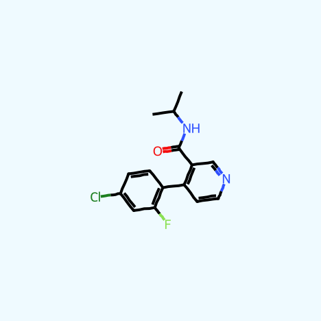 CC(C)NC(=O)c1cnccc1-c1ccc(Cl)cc1F